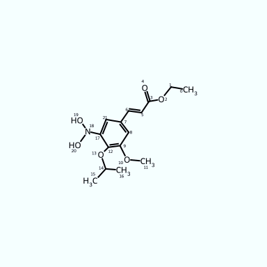 CCOC(=O)/C=C/c1cc(OC)c(OC(C)C)c(N(O)O)c1